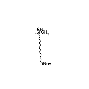 CCCCCCCCCCCCCCCCCCCCCC[SiH](C)C